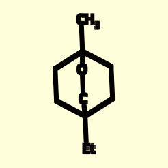 CCC12CCC(C)(CC1)OC2